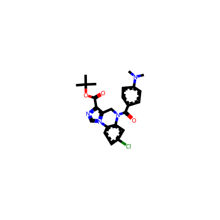 CN(C)c1ccc(C(=O)N2Cc3c(C(=O)OC(C)(C)C)ncn3-c3ccc(Cl)cc32)cc1